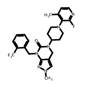 Cc1ccnc(F)c1N1CCC(N2Cc3cn(C)nc3N(Cc3ccccc3C(F)(F)F)C2=O)CC1